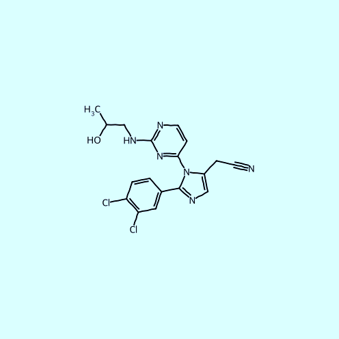 CC(O)CNc1nccc(-n2c(CC#N)cnc2-c2ccc(Cl)c(Cl)c2)n1